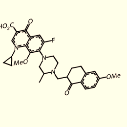 COc1ccc2c(c1)CCC(CN1CCN(c3c(F)cc4c(=O)c(C(=O)O)cn(C5CC5)c4c3OC)CC1C)C2=O